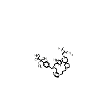 CC(C)CN1CCC2(CC1)CCN(CCCn1ccnc1CN(Cc1ccc(C(C)(C)C(=O)O)cc1)Cc1ncc[nH]1)C2